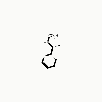 C[C@@H](NC(=O)O)[C@@H]1CCC=CO1